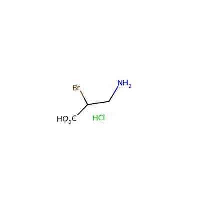 Cl.NCC(Br)C(=O)O